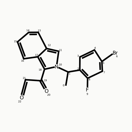 CC(c1ccc(Br)cc1F)n1cc2ccccc2c1C(=O)C=O